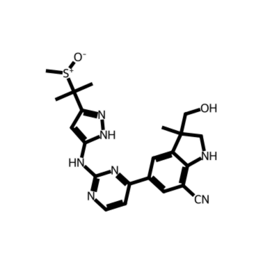 C[S+]([O-])C(C)(C)c1cc(Nc2nccc(-c3cc(C#N)c4c(c3)C(C)(CO)CN4)n2)[nH]n1